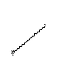 C[Si](Cl)(Cl)CCCCCCCCCCCCCCCCCCCCCCCCCCl